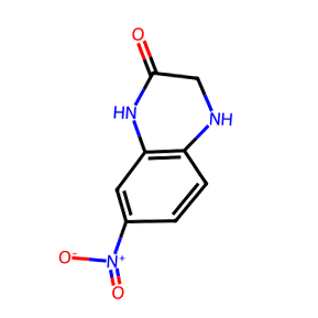 O=C1CNc2ccc([N+](=O)[O-])cc2N1